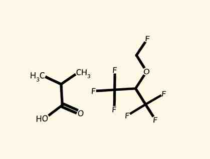 CC(C)C(=O)O.FCOC(C(F)(F)F)C(F)(F)F